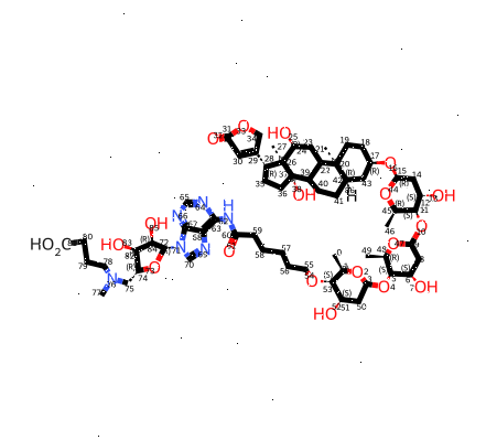 C[C@H]1OC(O[C@H]2[C@@H](O)CC(O[C@H]3[C@@H](O)C[C@H](O[C@@H]4CC[C@]5(C)C6C[C@@H](O)[C@]7(C)[C@@H](C8=CC(=O)OC8)CC[C@]7(O)C6CC[C@@H]5C4)O[C@@H]3C)O[C@@H]2C)C[C@H](O)[C@@H]1OCCCCCC(=O)Nc1ncnc2c1ncn2[C@@H]1O[C@H](CN(C)CCCC(=O)O)[C@@H](O)[C@H]1O